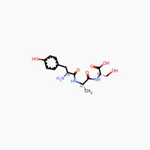 C[C@H](NC(=O)[C@@H](N)Cc1ccc(O)cc1)C(=O)N[C@@H](CO)C(=O)O